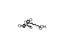 O=CC=C(c1ccc(Cl)cc1Cl)[C@@H]1CCC(=O)[C@H]1CCCCCCC(=O)O